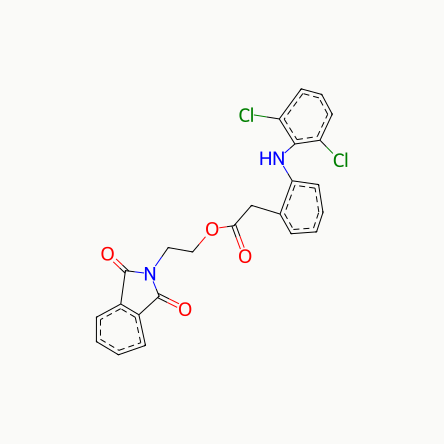 O=C(Cc1ccccc1Nc1c(Cl)cccc1Cl)OCCN1C(=O)c2ccccc2C1=O